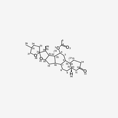 CC(=O)OC1CC2C(CC[C@H]3CC(=O)CC[C@]23C)C2CC3OC4(CCC(C)CO4)[C@@H](C)C3[C@@]12C